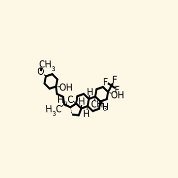 CO[C@H]1CC[C@](O)(CC[C@@H](C)[C@H]2CC[C@H]3[C@@H]4CC[C@H]5C[C@](O)(C(F)(F)F)CC[C@]5(C)[C@H]4CC[C@]23C)CC1